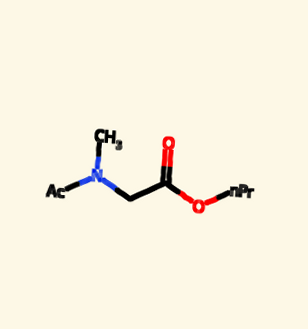 CCCOC(=O)CN(C)C(C)=O